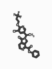 CC(c1cnc(OCCC(F)(F)F)c(Cl)c1)N1Cc2c(ccnc2C(=O)Oc2ccccc2)C1=O